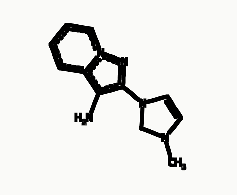 CN1C=CN(c2nn3ccccc3c2N)C1